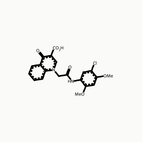 COc1cc(OC)c(NC(=O)Cn2cc(C(=O)O)c(=O)c3ccccc32)cc1Cl